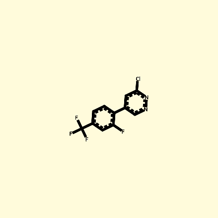 Fc1cc(C(F)(F)F)ccc1-c1cnnc(Cl)c1